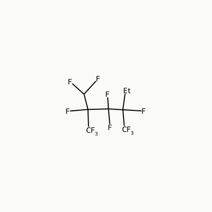 CCC(F)(C(F)(F)F)C(F)(F)C(F)(C(F)F)C(F)(F)F